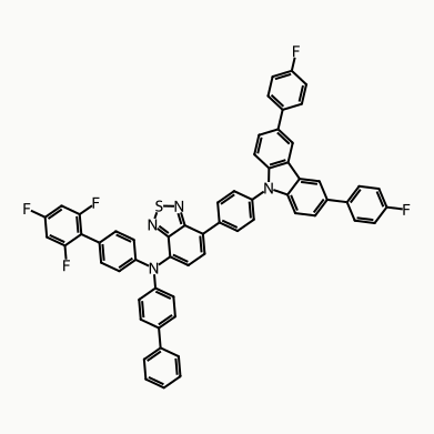 Fc1ccc(-c2ccc3c(c2)c2cc(-c4ccc(F)cc4)ccc2n3-c2ccc(-c3ccc(N(c4ccc(-c5ccccc5)cc4)c4ccc(-c5c(F)cc(F)cc5F)cc4)c4nsnc34)cc2)cc1